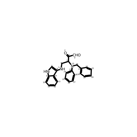 O=CC(=O)C(CNc1c[nH]c2ccccc12)N(Cc1ccccc1)c1ccccc1